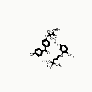 CC(C)OC(=O)C(C)(C)Oc1ccc(C(=O)c2ccc(Cl)cc2)cc1.Cc1ccc(C)c(OCCCC(C)(C)C(=O)O)c1